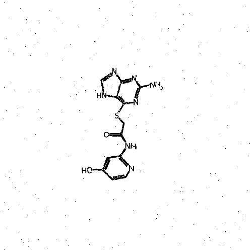 Nc1nc(SCC(=O)Nc2cc(O)ccn2)c2[nH]cnc2n1